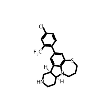 FC(F)(F)c1cc(Cl)ccc1-c1cc2c3c(c1)[C@@H]1CNCC[C@@H]1N3CCCS2